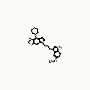 COc1ccc2[nH]cc(CCCn3ccc4c(N5CCCCC5)c5c(cc43)OCO5)c2c1